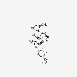 CCCOc1ccc(CNC(=O)N(Cc2ccn(C)n2)[C@H]2CCNC[C@H]2F)cc1